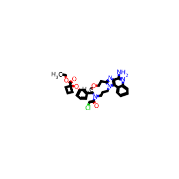 CCOC(=O)C1(Oc2cccc(CN(CCCn3c(CCOC)nc4c(N)nc5ccccc5c43)C(=O)CCl)c2)CCC1